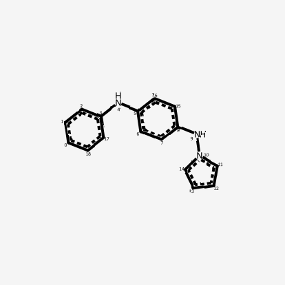 c1ccc(Nc2ccc(Nn3cccc3)cc2)cc1